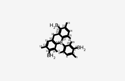 Bc1c(C)cc(C)c(B2c3c(cc(C)c(B)c3C)Cc3c(B)c(C)cc(C)c32)c1C